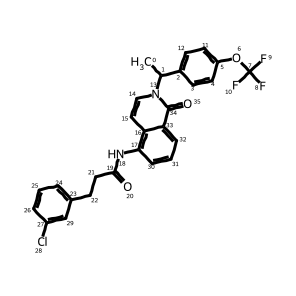 CC(c1ccc(OC(F)(F)F)cc1)n1ccc2c(NC(=O)CCc3cccc(Cl)c3)cccc2c1=O